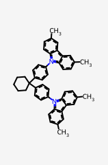 Cc1ccc2c(c1)c1cc(C)ccc1n2-c1ccc(C2(c3ccc(-n4c5ccc(C)cc5c5cc(C)ccc54)cc3)CCCCC2)cc1